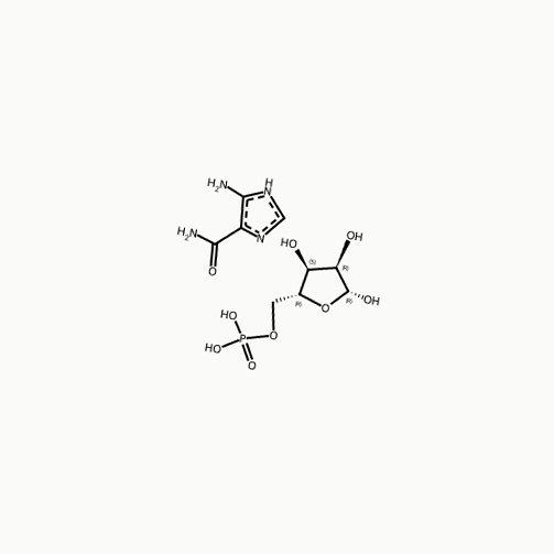 NC(=O)c1nc[nH]c1N.O=P(O)(O)OC[C@H]1O[C@@H](O)[C@H](O)[C@@H]1O